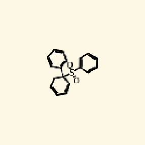 O=S(=O)(c1ccccc1)C1(c2ccccc2)C=CC=CC1